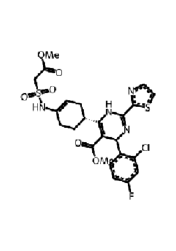 COC(=O)CS(=O)(=O)NC1=CC[C@H](C2=C(C(=O)OC)C(c3ccc(F)cc3Cl)N=C(c3nccs3)N2)CC1